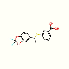 CC(Sc1cccc(B(O)O)c1)c1ccc2c(c1)OC(F)(F)O2